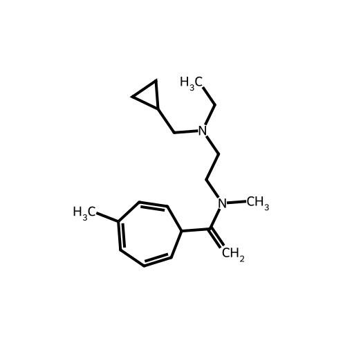 C=C(C1C=CC=C(C)C=C1)N(C)CCN(CC)CC1CC1